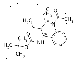 CCC1[C@@H](NC(=O)OC(C)(C)C)c2ccccc2N(C(C)=O)[C@H]1CC